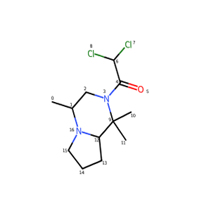 CC1CN(C(=O)C(Cl)Cl)C(C)(C)C2CCCN12